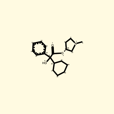 CN1CC[C@@H](OC(=O)C(O)(c2ccccc2)C2CCCCC2)C1